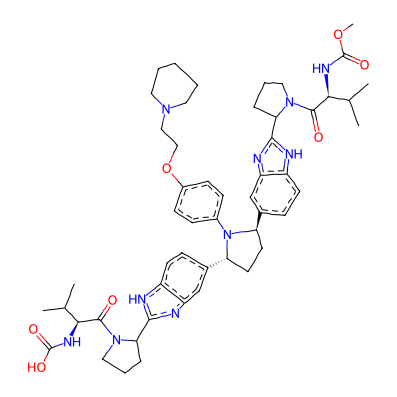 COC(=O)N[C@H](C(=O)N1CCCC1c1nc2cc([C@H]3CC[C@H](c4ccc5[nH]c(C6CCCN6C(=O)[C@@H](NC(=O)O)C(C)C)nc5c4)N3c3ccc(OCCN4CCCCC4)cc3)ccc2[nH]1)C(C)C